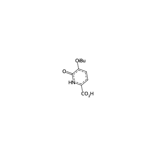 CC(C)COc1ccc(C(=O)O)[nH]c1=O